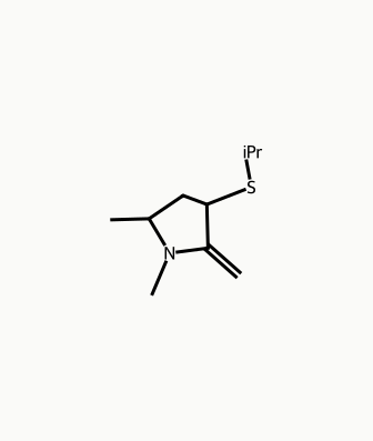 C=C1C(SC(C)C)CC(C)N1C